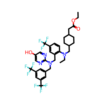 CCOC(=O)CC1CCC(CN(CC)c2ccc(C(F)(F)F)cc2CN(Cc2cc(C(F)(F)F)cc(C(F)(F)F)c2)c2ncc(O)cn2)CC1